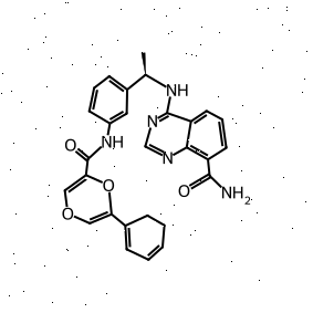 C[C@@H](Nc1ncnc2c(C(N)=O)cccc12)c1cccc(NC(=O)C2=COC=C(C3=CC=CCC3)O2)c1